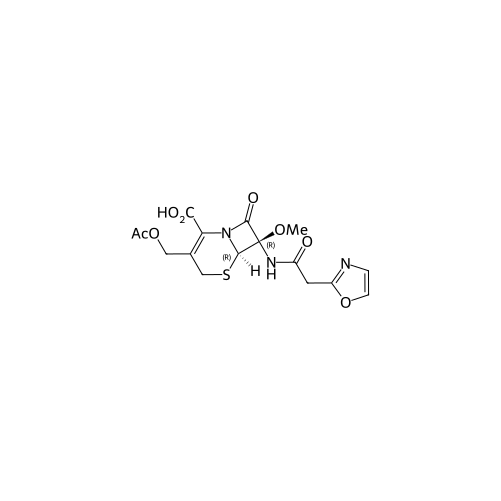 CO[C@]1(NC(=O)Cc2ncco2)C(=O)N2C(C(=O)O)=C(COC(C)=O)CS[C@@H]21